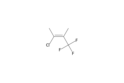 C/C(Cl)=C(\C)C(F)(F)F